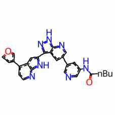 CCCCC(=O)Nc1cncc(-c2cnc3[nH]nc(-c4cc5c(-c6ccoc6)ccnc5[nH]4)c3c2)c1